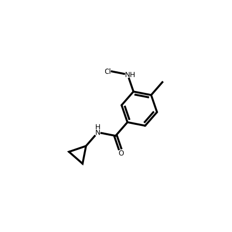 Cc1ccc(C(=O)NC2CC2)cc1NCl